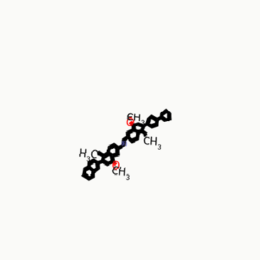 CCc1c(-c2ccc(-c3ccccc3)cc2)cc(OC)c2cc(/C=C/c3ccc4c(CC)c(-c5ccc6ccccc6c5)cc(OC)c4c3)ccc12